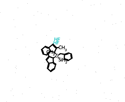 CC1=Cc2ccccc2[CH]1[Zr](=[SiH2])([CH2]c1ccccc1)[CH]1C(C)=Cc2ccccc21.F.F